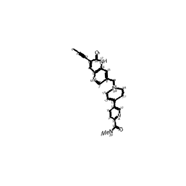 CC#Cc1cc2ncc(CN3CC=C(c4ccc(C(=O)NC)nc4)CC3)cc2[nH]c1=O